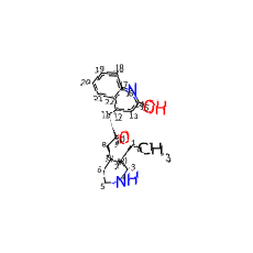 CC[C@H]1CNCC[C@H]1CC(=O)Cc1cc(O)nc2ccccc12